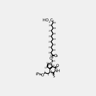 CC(C)OCCn1c(=S)[nH]c(=O)c2c1ccn2COC(=O)CCCCCCCCCCCCC(=O)O